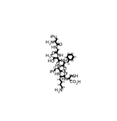 CC(C)C[C@@H](N)C(=O)NCC(=O)N[C@@H](C(=O)N[C@H](Cc1ccccc1)C(=O)N[C@H](CC(C)C)C(=O)N[C@H](CCCCN)C(=O)N[C@H](CS)C(=O)O)[C@H](C)O